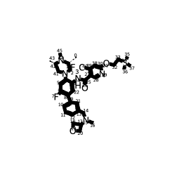 C[C@@H]1CN(c2cc(F)c(-c3cccc(CN(C)C4COC4)c3)cc2NC(=O)c2cnc(OCCS(C)(C)C)cc2C(F)(F)F)C[C@H](C)N1C